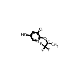 C[C@H](Oc1ncc(O)cc1Cl)C(F)(F)F